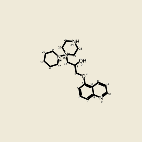 OC(COc1cccc2ncccc12)C[N+]1(N2CCCCC2)CCNCC1